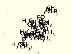 COC(=O)c1nc(N(CCCC(CN(C)CCN(C)C(=O)OC(C)(C)C)O[Si](c2ccccc2)(c2ccccc2)C(C)(C)C)c2cc(C)c(/N=c3\sc4ccccc4n3COCC[Si](C)(C)C)nn2)sc1CCCOc1ccc(C#CCN(C)C)cc1F